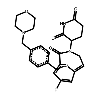 C\C1=C/C(F)=C\C(OCc2ccc(CN3CCOCC3)cc2)=C\CN(C2CCC(=O)NC2=O)C1=O